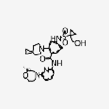 C[C@@H]1CN(c2cccc(NC(=O)c3ccc(NS(=O)(=O)C4(CO)CC4)cc3N3CCC4(CC3)CC4)n2)CCO1